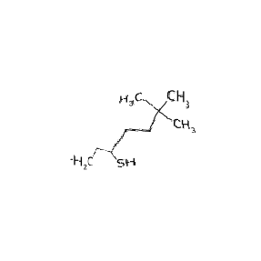 [CH2]CC(S)CCC(C)(C)C